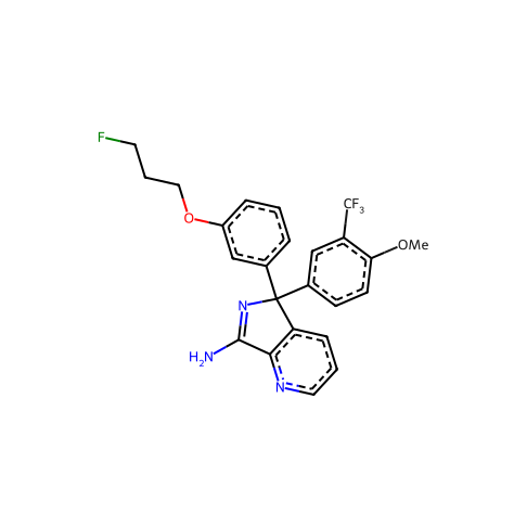 COc1ccc(C2(c3cccc(OCCCF)c3)N=C(N)c3ncccc32)cc1C(F)(F)F